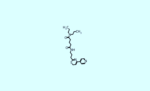 CCCN(CCC)C(=O)CCCC(=O)NCCCC1=NC(c2ccncc2)=CCS1